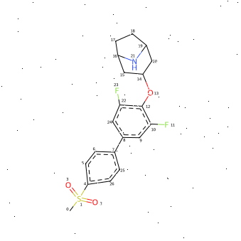 CS(=O)(=O)c1ccc(-c2cc(F)c(OC3CC4CCC(C3)N4)c(F)c2)cc1